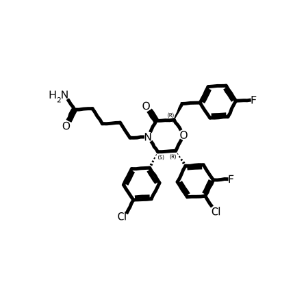 NC(=O)CCCCN1C(=O)[C@@H](Cc2ccc(F)cc2)O[C@H](c2ccc(Cl)c(F)c2)[C@@H]1c1ccc(Cl)cc1